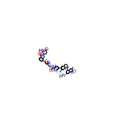 CCCc1cc(N2CCCc3cc(-c4ccc(C(=O)NCc5cc(-c6cccc7c6CN(C6CCC(=O)NC6=O)C7=O)on5)nc4)c(C(F)F)cc32)c2cc(C)c(=O)n(C)c2c1